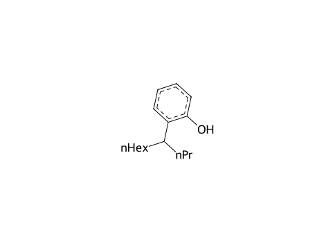 CCCCCCC(CCC)c1ccccc1O